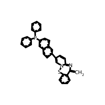 C=C1N=C2C=CC(c3ccc4cc(P(c5ccccc5)c5ccccc5)ccc4c3)=CN2Sc2ccccc21